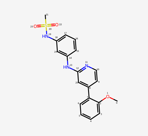 COc1ccccc1-c1ccnc(Nc2cccc(NS(C)(=O)=O)c2)c1